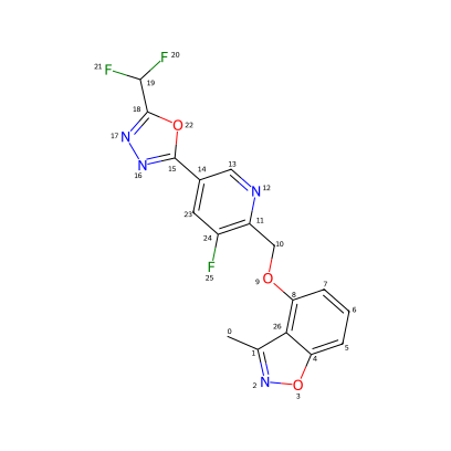 Cc1noc2cccc(OCc3ncc(-c4nnc(C(F)F)o4)cc3F)c12